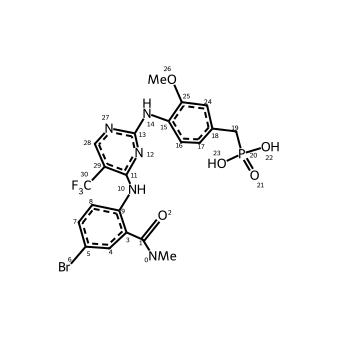 CNC(=O)c1cc(Br)ccc1Nc1nc(Nc2ccc(CP(=O)(O)O)cc2OC)ncc1C(F)(F)F